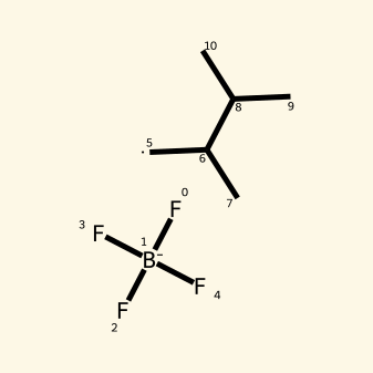 F[B-](F)(F)F.[CH2]C(C)C(C)C